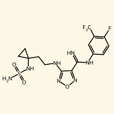 N=C(Nc1ccc(F)c(C(F)(F)F)c1)c1nonc1NCCC1(NS(N)(=O)=O)CC1